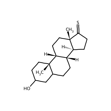 C[C@]12CCC(O)CC1CC[C@@H]1[C@H]2CC[C@]2(C)C(=S)CC[C@@H]12